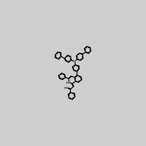 N=C(/C=C1\NC(c2ccccc2)=Cc2c1cccc2-c1ccc(N(c2ccc(-c3ccccc3)cc2)c2ccc(-c3ccccc3)cc2)cc1)c1ccccc1